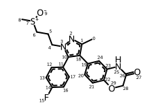 Cc1nn(CCC[S+](C)[O-])c(-c2ccc(F)cc2)c1-c1ccc2c(c1)NC(=O)CO2